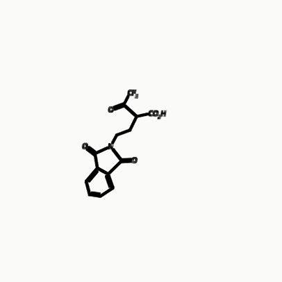 O=C(O)C(CCN1C(=O)c2ccccc2C1=O)C(=O)C(F)(F)F